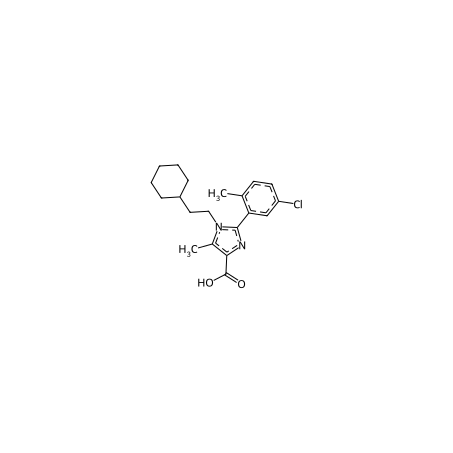 Cc1ccc(Cl)cc1-c1nc(C(=O)O)c(C)n1CCC1CCCCC1